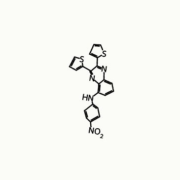 O=[N+]([O-])c1ccc(Nc2cccc3nc(-c4cccs4)c(-c4cccs4)nc23)cc1